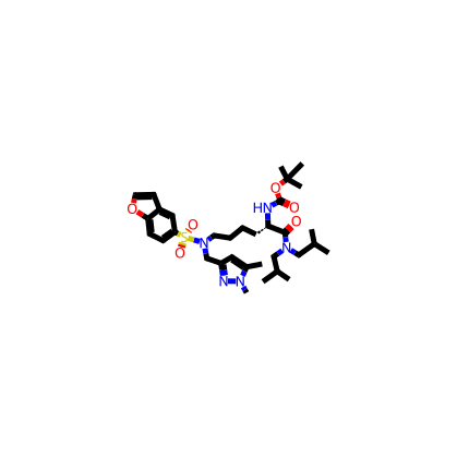 Cc1cc(CN(CCCC[C@H](NC(=O)OC(C)(C)C)C(=O)N(CC(C)C)CC(C)C)S(=O)(=O)c2ccc3occc3c2)nn1C